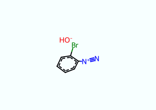 N#[N+]c1ccccc1Br.[OH-]